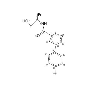 CC(C)C(CO)NC(=O)c1cncc(-c2ccc(F)cc2)c1